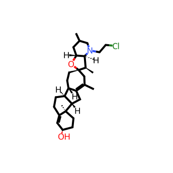 CC1=C2C[C@H]3[C@@H](CCC4=C[C@@H](O)CC[C@@]43C)[C@@H]2CC[C@@]2(C1)O[C@@H]1CC(C)CN(CCCl)[C@H]1[C@H]2C